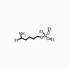 CCO[Si](CC)(OCC)OCCCCC(N)CC